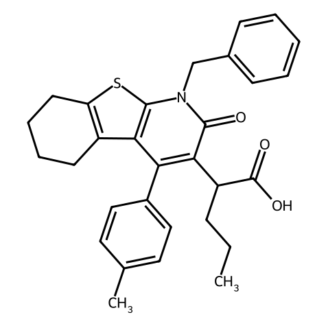 CCCC(C(=O)O)c1c(-c2ccc(C)cc2)c2c3c(sc2n(Cc2ccccc2)c1=O)CCCC3